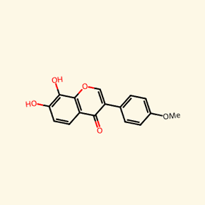 COc1ccc(-c2coc3c(O)c(O)ccc3c2=O)cc1